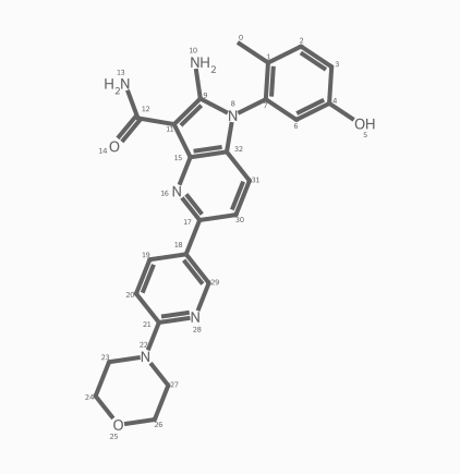 Cc1ccc(O)cc1-n1c(N)c(C(N)=O)c2nc(-c3ccc(N4CCOCC4)nc3)ccc21